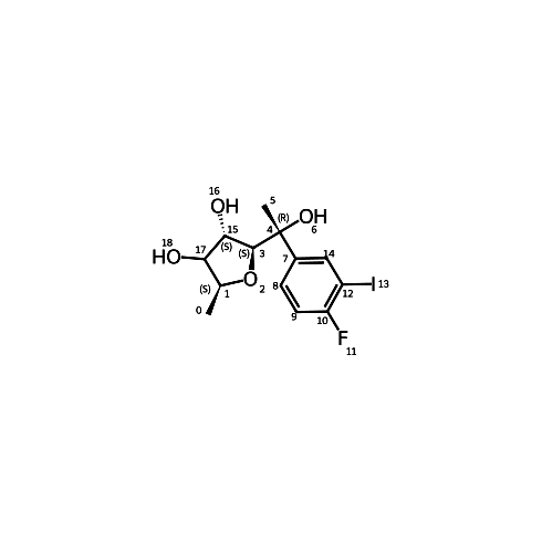 C[C@@H]1O[C@H]([C@](C)(O)c2ccc(F)c(I)c2)[C@@H](O)C1O